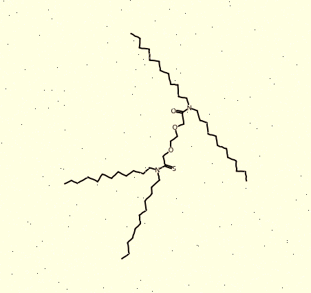 CCCCCCCCCCCCN(CCCCCCCCCCCC)C(=O)COCCOCC(=S)N(CCCCCCCCCCCC)CCCCCCCCCCCC